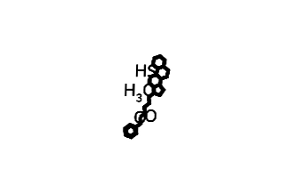 CC12CCC3C(CCC4CCCCC43S)C1CCC2CCCC(=O)OCc1ccccc1